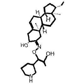 CC[C@H]1CC[C@H]2[C@@H]3CC=C4C[C@@H](O)C(=NOC(C(C)O)C5CCCNC5)C[C@]4(C)[C@H]3CC[C@]12C